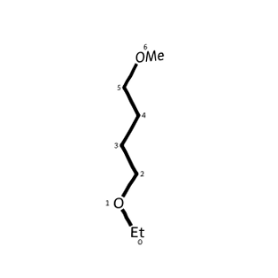 [CH2-][CH+]OCCCC[OH+][CH2-]